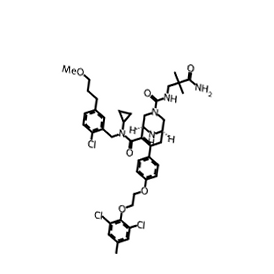 COCCCc1ccc(Cl)c(CN(C(=O)C2=C(c3ccc(OCCOc4c(Cl)cc(C)cc4Cl)cc3)C[C@@H]3CN(C(=O)NCC(C)(C)C(N)=O)C[C@H]2N3)C2CC2)c1